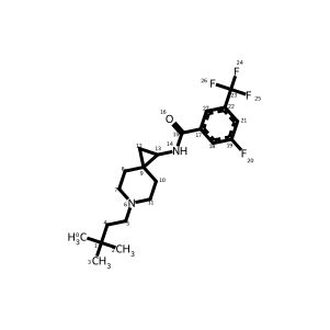 CC(C)(C)CCN1CCC2(CC1)CC2NC(=O)c1cc(F)cc(C(F)(F)F)c1